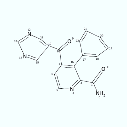 NC(=O)c1nccc(C(=O)c2cncnc2)c1-c1ccccc1